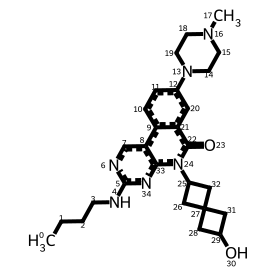 CCCCNc1ncc2c3ccc(N4CCN(C)CC4)cc3c(=O)n(C3CC4(CC(O)C4)C3)c2n1